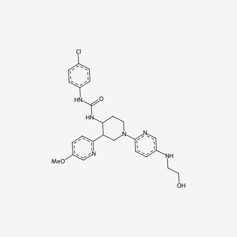 COc1ccc(C2CN(c3ccc(NCCO)cn3)CCC2NC(=O)Nc2ccc(Cl)cc2)nc1